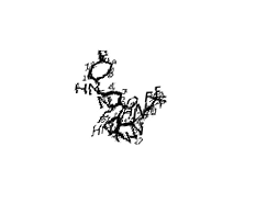 O=C(c1ccc(NC2CCC(F)CC2)nc1F)c1c[nH]c2ncnc(NCC(F)(F)F)c12